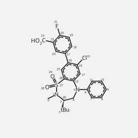 CN1[C@H](C(C)(C)C)CN(c2ccccc2)c2cc(Cl)c(-c3ccc(F)c(C(=O)O)c3)cc2S1(=O)=O